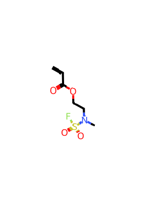 C=CC(=O)OCCN(C)S(=O)(=O)F